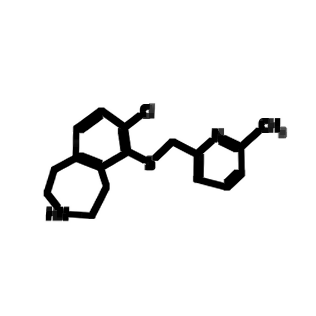 Cc1cccc(CSc2c(Cl)ccc3c2CCNCC3)n1